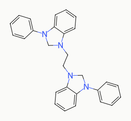 c1ccc(N2CN(CCN3CN(c4ccccc4)c4ccccc43)c3ccccc32)cc1